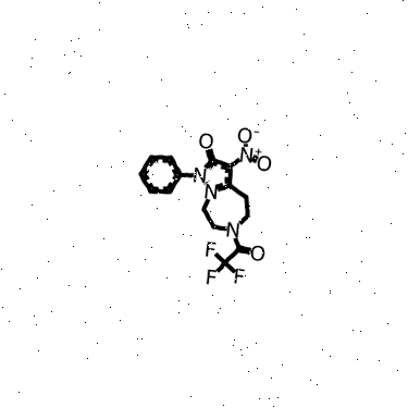 O=C(N1CCc2c([N+](=O)[O-])c(=O)n(-c3ccccc3)n2CC1)C(F)(F)F